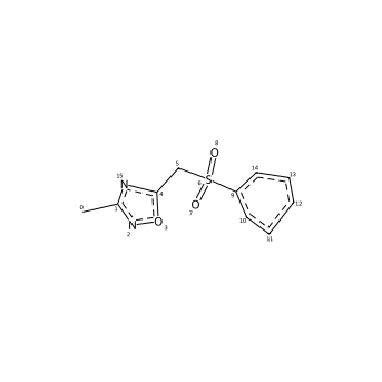 Cc1noc(CS(=O)(=O)c2ccccc2)n1